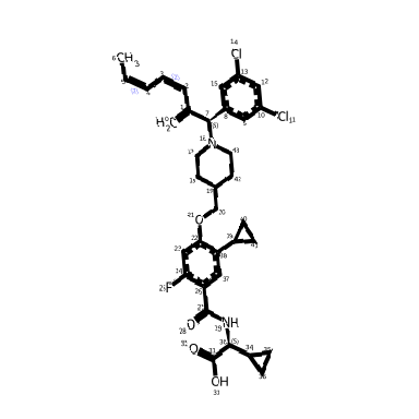 C=C(/C=C\C=C/C)[C@@H](c1cc(Cl)cc(Cl)c1)N1CCC(COc2cc(F)c(C(=O)N[C@H](C(=O)O)C3CC3)cc2C2CC2)CC1